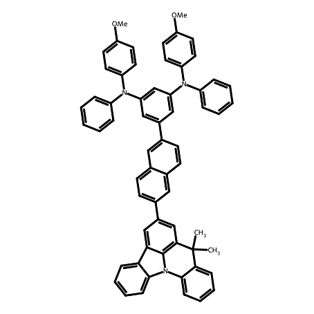 COc1ccc(N(c2ccccc2)c2cc(-c3ccc4cc(-c5cc6c7c(c5)c5ccccc5n7-c5ccccc5C6(C)C)ccc4c3)cc(N(c3ccccc3)c3ccc(OC)cc3)c2)cc1